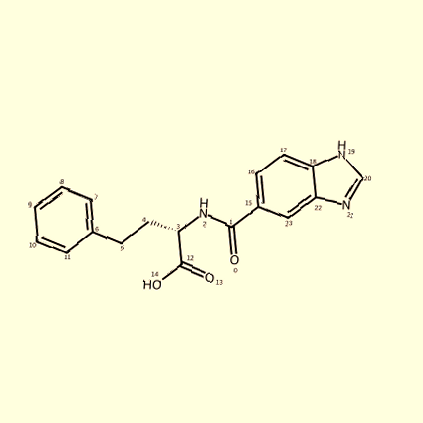 O=C(N[C@@H](CCc1ccccc1)C(=O)O)c1ccc2[nH]cnc2c1